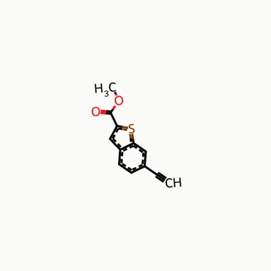 C#Cc1ccc2cc(C(=O)OC)sc2c1